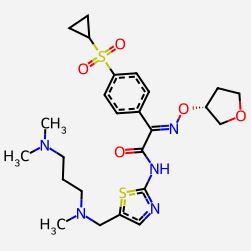 CN(C)CCCN(C)Cc1cnc(NC(=O)/C(=N/O[C@@H]2CCOC2)c2ccc(S(=O)(=O)C3CC3)cc2)s1